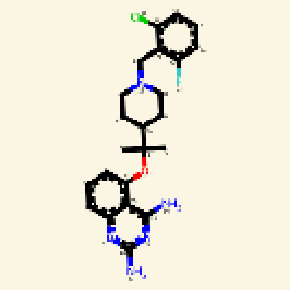 CC(C)(Oc1cccc2nc(N)nc(N)c12)C1CCN(Cc2c(F)cccc2Cl)CC1